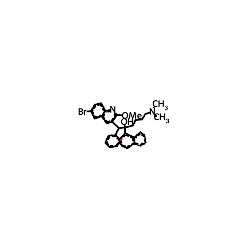 COc1nc2ccc(Br)cc2cc1C(c1ccccc1)C(O)(CCCCN(C)C)c1cccc2ccccc12